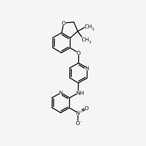 CC1(C)COc2cccc(Oc3ccc(Nc4ncccc4[N+](=O)[O-])cn3)c21